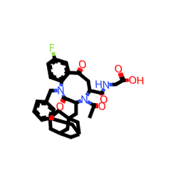 CC(=O)N1C(C(=O)NCC(=O)O)CC(=O)c2cc(F)ccc2N(Cc2ccccc2)C(=O)C1CC12CC3CC(CC(C3)C1)C2